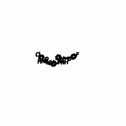 N=c1n(CCCOc2ccc(F)cc2)c2ccccc2n1Cc1ccc(CNCC(=O)Nc2ccc(Cl)cc2)cc1